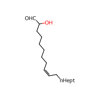 CCCCCCCC/C=C\CCCCCCC(O)C=O